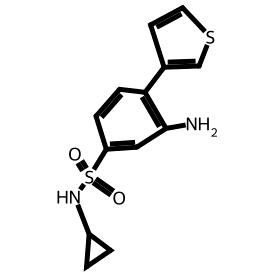 Nc1cc(S(=O)(=O)NC2CC2)ccc1-c1ccsc1